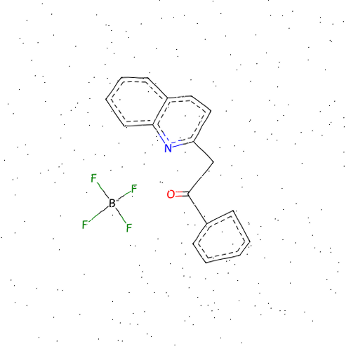 F[B-](F)(F)F.O=C(Cc1ccc2ccccc2n1)c1ccccc1